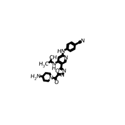 CC(C)Nc1cc(Nc2ccc(C#N)cc2)ncc1-c1nnc(C(=O)N2CCC(N)CC2)o1